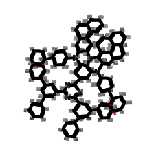 c1ccc(-c2ccc(N3c4cc(-c5nc(-c6cc(-c7ccccc7)cc(-c7ccccc7)c6)nc(-c6cc(-c7ccccc7)cc(-c7ccccc7)c6)n5)cc5c4B(c4c3cc3ccc6cccc7ccc4c3c67)c3c(cc4ccc6cccc7ccc3c4c67)N5c3ccc(-c4ccccc4)cc3)cc2)cc1